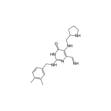 Cc1ccc(CNc2nc(C=N)c(NCC3CCCN3)c(=O)[nH]2)cc1C